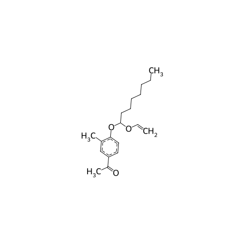 C=COC(CCCCCCC)Oc1ccc(C(C)=O)cc1C